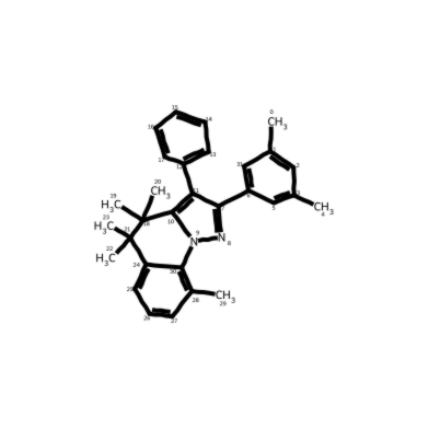 Cc1cc(C)cc(-c2nn3c(c2-c2ccccc2)C(C)(C)C(C)(C)c2cccc(C)c2-3)c1